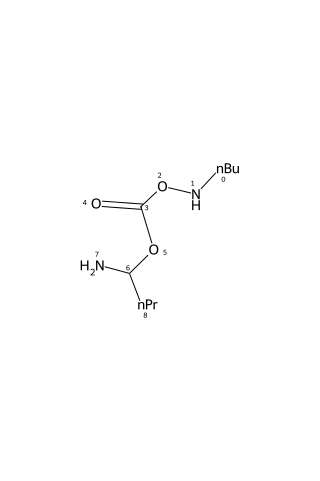 CCCCNOC(=O)OC(N)CCC